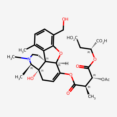 CC(=O)O[C@@H](C(=O)O[C@H](CC(=O)O)C(=O)O)[C@@H](C)C(=O)OC1=CC[C@@]2(O)[C@@H](C)N(C)CC[C@@]23c2c(C)ccc(CO)c2O[C@@H]13